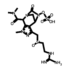 CN(C)C(=O)C1c2c(c(C[S+]([O-])CCNC(=N)N)nn2C)C2CN1C(=O)N2OS(=O)(=O)O